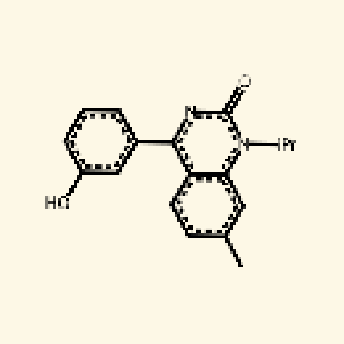 Cc1ccc2c(-c3cccc(O)c3)nc(=O)n(C(C)C)c2c1